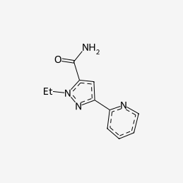 CCn1nc(-c2ccccn2)cc1C(N)=O